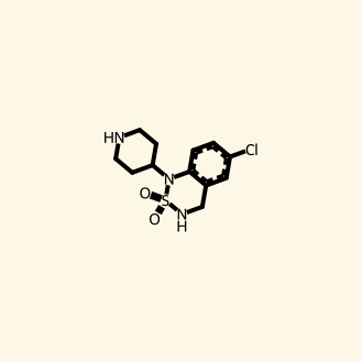 O=S1(=O)NCc2cc(Cl)ccc2N1C1CCNCC1